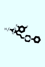 CC1OC(CCCN2CCN(c3ccccc3)CC2)(c2ccc(F)cc2F)O1